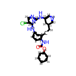 O=C(Nc1ccc2cc1CCC1C=NC=C(C1)Nc1ncc(Cl)c(n1)N2)Oc1ccccc1